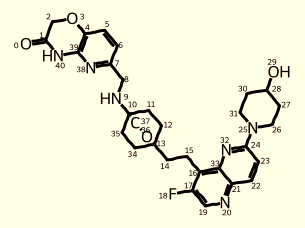 O=C1COc2ccc(CNC34CCC(CCc5c(F)cnc6ccc(N7CCC(O)CC7)nc56)(CC3)OC4)nc2N1